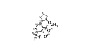 CCOC=O.O=C1CCCC1c1ccc(C(F)(F)F)cc1F